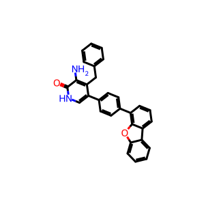 Nc1c(Cc2ccccc2)c(-c2ccc(-c3cccc4c3oc3ccccc34)cc2)c[nH]c1=O